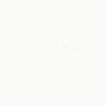 CN(C(=O)CC(=O)O)c1ccc(-c2c[c]ccc2)cc1